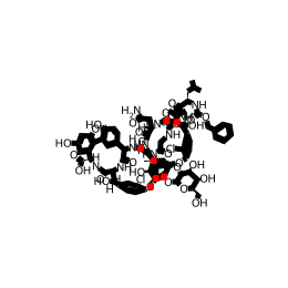 CC(C)C[C@H](NC(=O)OCc1ccccc1)C(=O)N[C@H]1C(=O)N[C@@H](CC(N)=O)C(=O)N[C@H]2C(=O)NC3C(=O)N[C@H](C(=O)N[C@H](C(=O)O)c4cc(O)cc(O)c4-c4cc3ccc4O)[C@H](O)c3ccc(c(Cl)c3)Oc3cc2cc(c3OC2O[C@H](CO)[C@@H](O)[C@H](O)C2O[C@H]2C[C@](C)(NC(=O)CNC(=O)OC(C)(C)C)[C@H](O)[C@H](C)O2)Oc2ccc(cc2Cl)[C@H]1O